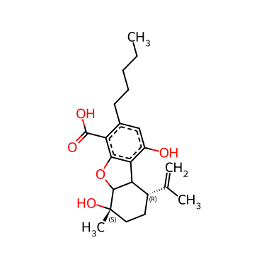 C=C(C)[C@@H]1CC[C@](C)(O)C2Oc3c(C(=O)O)c(CCCCC)cc(O)c3C21